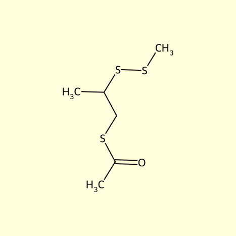 CSSC(C)CSC(C)=O